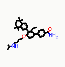 CCc1c(-c2ccc(C(N)=O)cc2)ccc(OCCCCNC(C)C)c1-c1ccc2c(c1)C(C)(C)CCC2(C)C